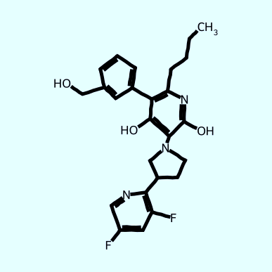 CCCCc1nc(O)c(N2CCC(c3ncc(F)cc3F)C2)c(O)c1-c1cccc(CO)c1